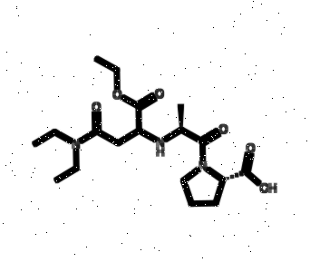 CCOC(=O)C(CC(=O)N(CC)CC)N[C@@H](C)C(=O)N1CCC[C@H]1C(=O)O